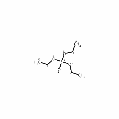 CCO[Si]([O])(OCC)OCC